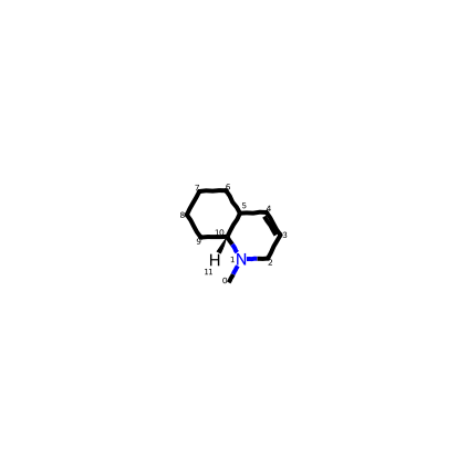 CN1CC=CC2CCCC[C@H]21